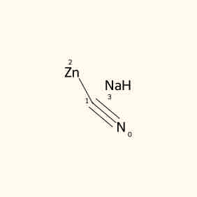 N#[C][Zn].[NaH]